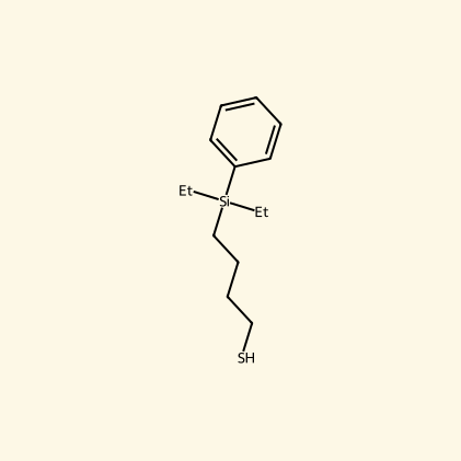 CC[Si](CC)(CCCCS)c1ccccc1